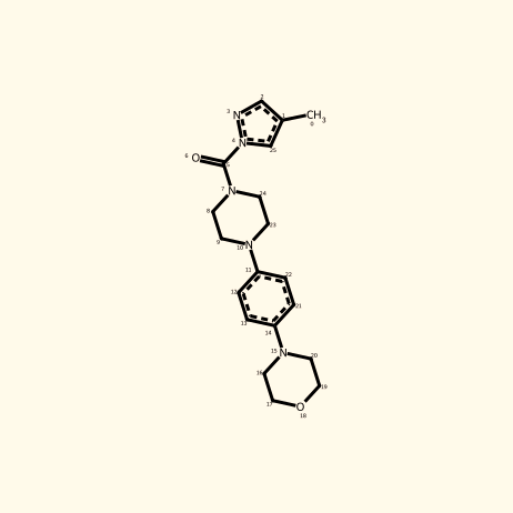 Cc1cnn(C(=O)N2CCN(c3ccc(N4CCOCC4)cc3)CC2)c1